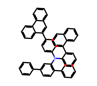 c1ccc(-c2ccc(-c3ccccc3)c(N(c3ccc(-c4cc5ccccc5c5ccccc45)cc3)c3ccccc3-c3cccc4ccccc34)c2)cc1